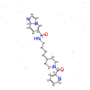 O=C(NCCCCC1CCN(C(=O)c2ccccn2)CC1)c1ccc2nccn2c1